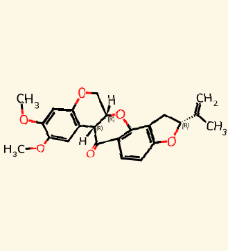 C=C(C)[C@H]1Cc2c(ccc3c2O[C@H]2COc4cc(OC)c(OC)cc4[C@H]2C3=O)O1